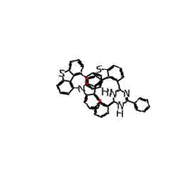 c1ccc(C2=NC(c3cccc4sc5c(-c6cccc7sc8cccc(-n9c%10ccccc%10c%10ccccc%109)c8c67)cccc5c34)NC(c3ccccc3)N2)cc1